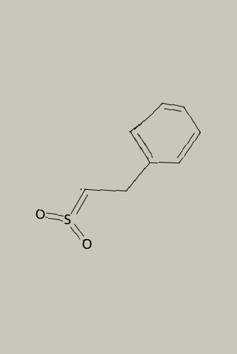 O=S(=O)=[C]Cc1ccccc1